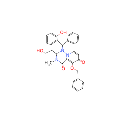 CN1C(=O)c2c(OCc3ccccc3)c(=O)ccn2N(C(c2ccccc2)c2ccccc2O)C1CCO